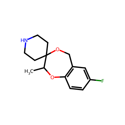 CC1Oc2ccc(F)cc2COC12CCNCC2